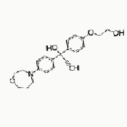 C#CC(O)(c1ccc(OCCO)cc1)c1ccc(N2CCCOCC2)cc1